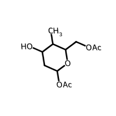 CC(=O)OCC1OC(OC(C)=O)CC(O)C1C